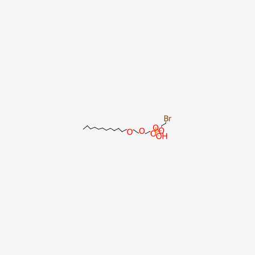 CCCCCCCCCCCCOCCOCCOP(=O)(O)OCCBr